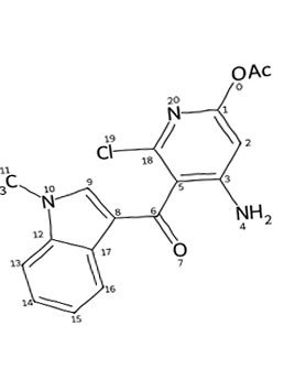 CC(=O)Oc1cc(N)c(C(=O)c2cn(C)c3ccccc23)c(Cl)n1